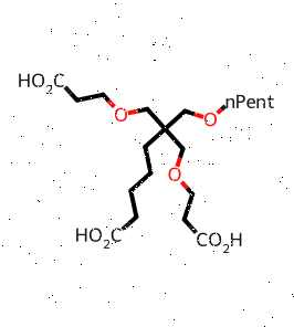 CCCCCOCC(CCCCC(=O)O)(COCCC(=O)O)COCCC(=O)O